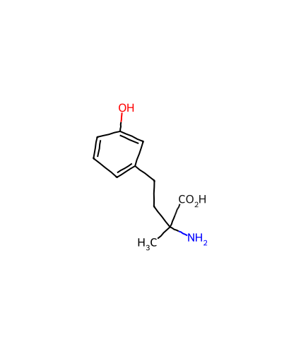 CC(N)(CCc1cccc(O)c1)C(=O)O